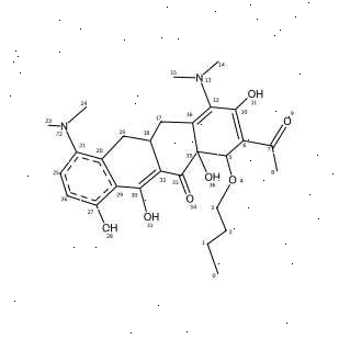 CCCCOC1C(C(C)=O)=C(O)C(N(C)C)=C2CC3Cc4c(N(C)C)ccc(O)c4C(O)=C3C(=O)C21O